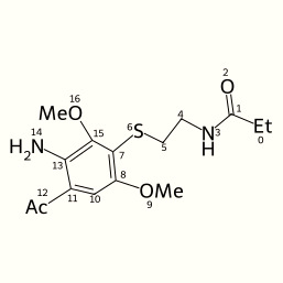 CCC(=O)NCCSc1c(OC)cc(C(C)=O)c(N)c1OC